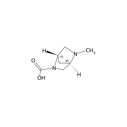 CN1C[C@@H]2C[C@@H]1CN2C(=O)O